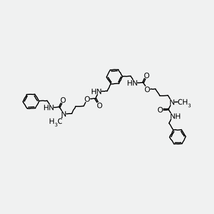 CN(CCCOC(=O)NCc1cccc(CNC(=O)OCCCN(C)C(=O)NCc2ccccc2)c1)C(=O)NCc1ccccc1